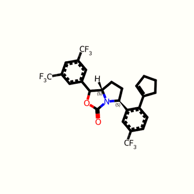 O=C1OC(c2cc(C(F)(F)F)cc(C(F)(F)F)c2)[C@@H]2CC[C@@H](c3cc(C(F)(F)F)ccc3C3=CCCC3)N12